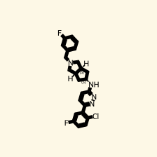 Fc1cccc(CN2C[C@H]3C[C@H](Nc4ccc(-c5cc(F)ccc5Cl)nn4)C[C@H]3C2)c1